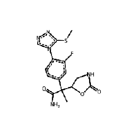 CSc1nncn1-c1ccc(C(C)(C(N)=O)C2CNC(=O)O2)cc1F